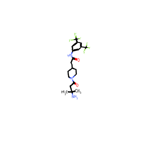 CC(C)(N)CC(=O)N1CCC(CC(=O)Nc2cc(C(F)(F)F)cc(C(F)(F)F)c2)CC1